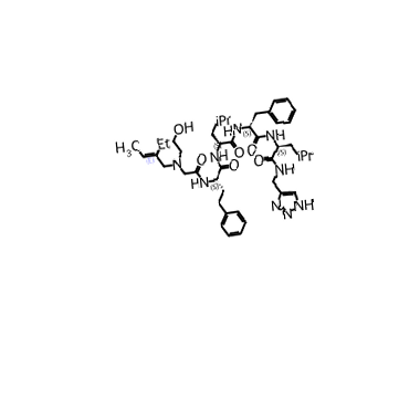 C/C=C(\CC)CN(CCO)CC(=O)N[C@@H](CCc1ccccc1)C(=O)N[C@@H](CC(C)C)C(=O)N[C@@H](Cc1ccccc1)C(=O)N[C@@H](CC(C)C)C(=O)NCc1c[nH]nn1